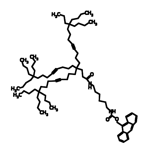 CCCCC(CCC)(CCCC)CCCC#CCCCC(CCCC#CCCCC(CCCC)(CCCC)CCCC)(CCCC#CCCCC(CCCC)(CCCC)CCCC)CCC(=O)NCCCCCCNC(=O)OCc1c2ccccc2cc2ccccc12